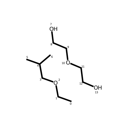 CCOCC(C)C.OCCOCCO